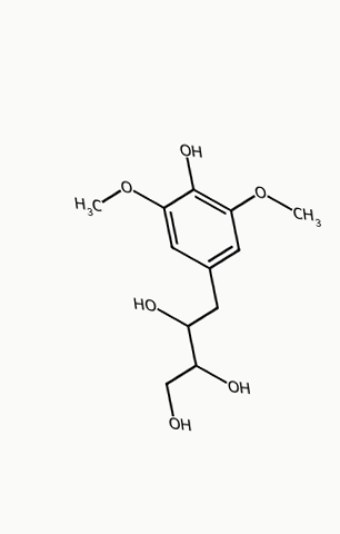 COc1cc(CC(O)C(O)CO)cc(OC)c1O